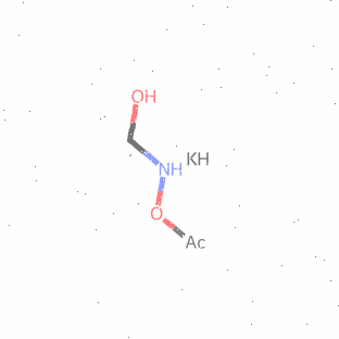 CC(=O)ONCO.[KH]